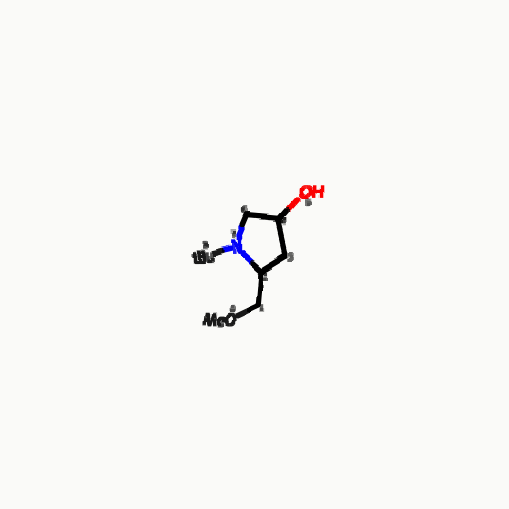 COCC1CC(O)CN1C(C)(C)C